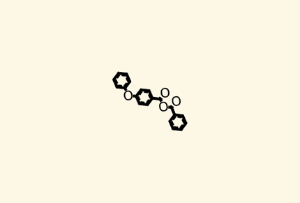 O=C(OC(=O)c1ccc(Oc2ccccc2)cc1)c1ccccc1